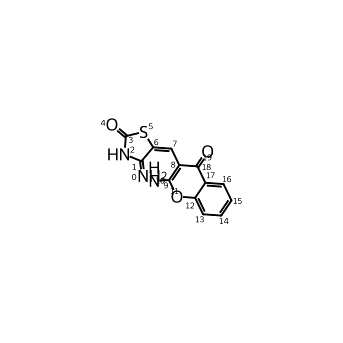 N=C1NC(=O)S/C1=C/c1c(N)oc2ccccc2c1=O